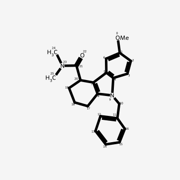 COc1ccc2c(c1)c1c(n2Cc2ccccc2)CCCC1C(=O)N(C)C